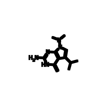 C=C1NC(N)=Nc2c1c(C(C)C)cn2N(C)C